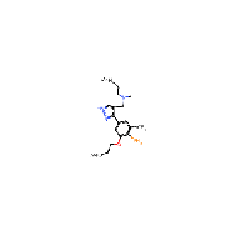 CNCCN(C)Cc1c[nH]nc1-c1cc(OCCOC)c(P)c(C(F)(F)F)c1